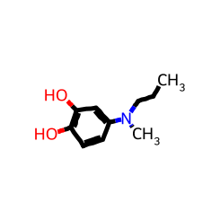 CCCN(C)c1ccc(O)c(O)c1